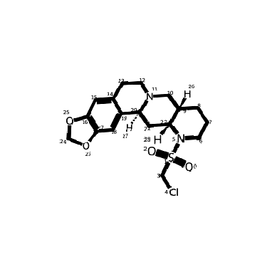 O=S(=O)(CCl)N1CCC[C@H]2CN3CCc4cc5c(cc4[C@@H]3C[C@H]21)OCO5